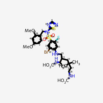 COc1ccc(CN(c2ncns2)S(=O)(=O)c2cc(Br)c(NCC(CC(C)(C)CCNC(=O)O)C(C)NC(=O)O)cc2F)c(OC)c1